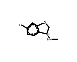 CN[C@@H]1COc2cc(Cl)ccc21